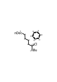 CCCCCCCCCCCCCCC(Cl)CCCC.c1ccccc1